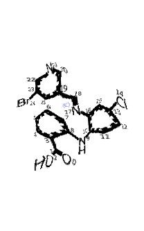 O=C(O)c1ccccc1Nc1ccc(Cl)cc1/N=C/c1cncc(Br)c1